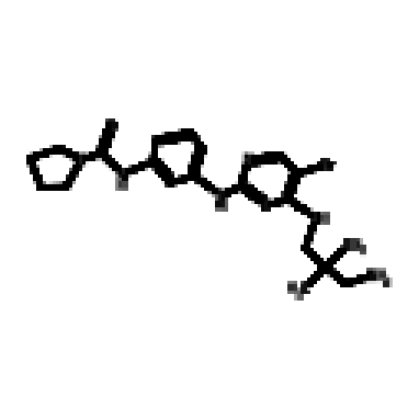 CC(C)(CN)CNc1nc(Nc2cccc(NC(=O)N3CCCC3)c2)ncc1Br